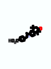 C/C(=C\c1ccc(C(=O)O)cc1)c1ccc2c(c1)C(C)(C)CC(=O)C2(C)C